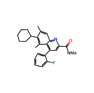 CNC(=O)c1cc(-c2ccccc2F)c2c(C)c(C3CCCCC3)c(C)cc2n1